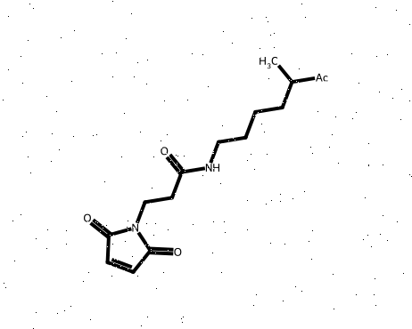 CC(=O)C(C)CCCCNC(=O)CCN1C(=O)C=CC1=O